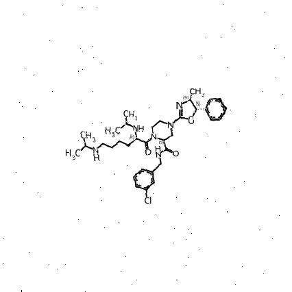 CC(C)NCCCC[C@@H](NC(C)C)C(=O)N1CCN(C2=N[C@@H](C)[C@H](c3ccccc3)O2)C[C@H]1C(=O)NCc1cccc(Cl)c1